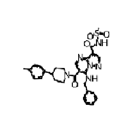 Cc1ccc(C2CCN(C(=O)c3cnc4c(C(=O)NS(C)(=O)=O)cnn4c3NCc3ccccc3)CC2)cc1